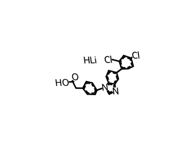 O=C(O)Cc1ccc(-n2cnc3cc(-c4ccc(Cl)cc4Cl)ccc32)cc1.[LiH]